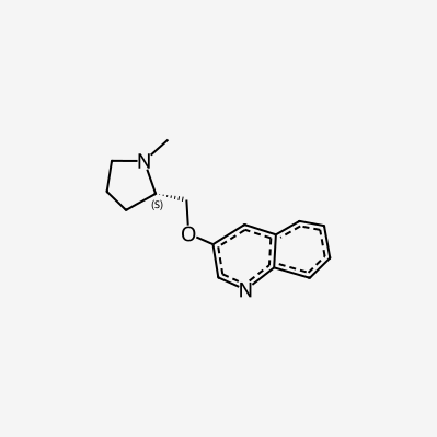 CN1CCC[C@H]1COc1cnc2ccccc2c1